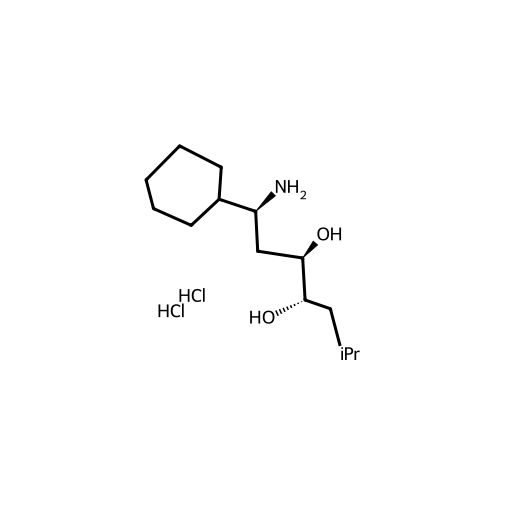 CC(C)C[C@H](O)[C@H](O)C[C@H](N)C1CCCCC1.Cl.Cl